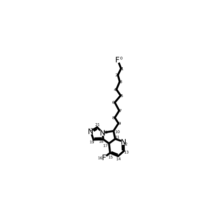 FCCCCCCCCCC1C2N=CC=C(F)C2c2cncn21